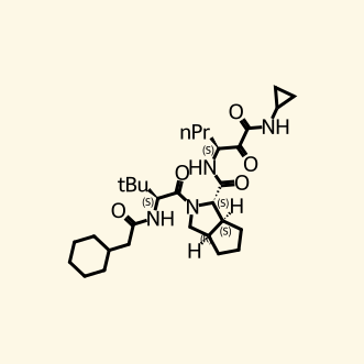 CCC[C@H](NC(=O)[C@@H]1[C@H]2CCC[C@H]2CN1C(=O)[C@@H](NC(=O)CC1CCCCC1)C(C)(C)C)C(=O)C(=O)NC1CC1